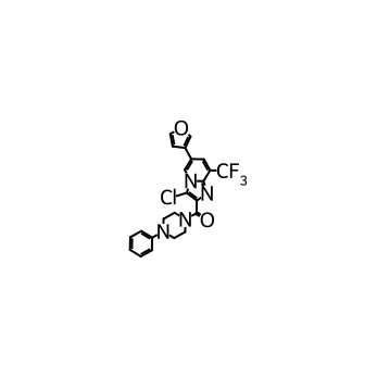 O=C(c1nc2c(C(F)(F)F)cc(-c3ccoc3)cn2c1Cl)N1CCN(c2ccccc2)CC1